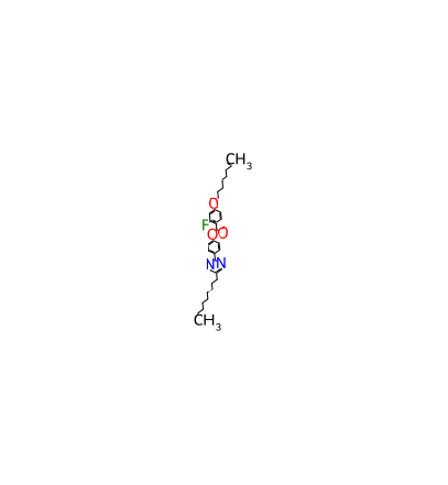 CCCCCCCCCc1cnc(-c2ccc(OC(=O)c3ccc(OCCCCCCCC)cc3F)cc2)nc1